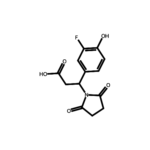 O=C(O)CC(c1ccc(O)c(F)c1)N1C(=O)CCC1=O